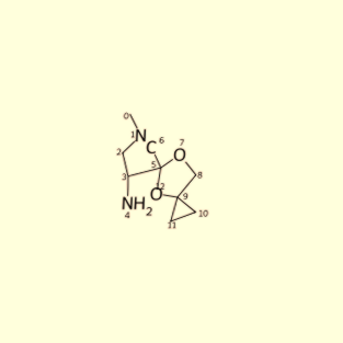 CN1CC(N)C2(C1)OCC1(CC1)O2